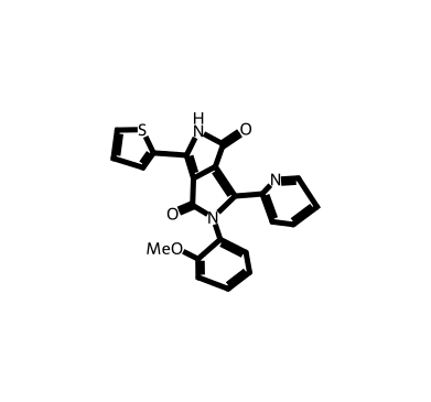 COc1ccccc1N1C(=O)C2=C(c3cccs3)NC(=O)C2=C1c1ccccn1